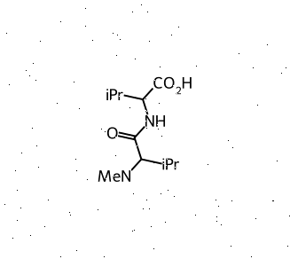 CNC(C(=O)NC(C(=O)O)C(C)C)C(C)C